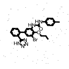 CCCOc1c(Br)cc(-c2ccccc2-c2nnn[nH]2)cc1NC(=O)Nc1ccc(C)cc1